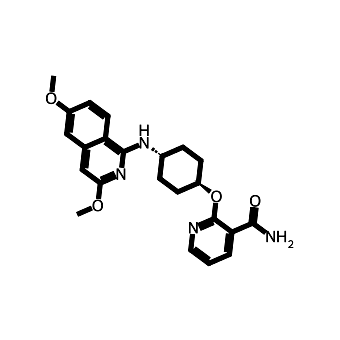 COc1ccc2c(N[C@H]3CC[C@H](Oc4ncccc4C(N)=O)CC3)nc(OC)cc2c1